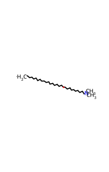 [CH2]CCCCCCCCCCCCCCCCCCCCCCCCCCCCN(C)C